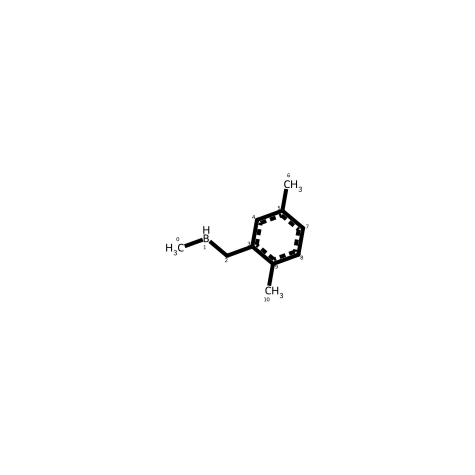 CBCc1cc(C)ccc1C